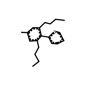 CCCCc1cc(C)cc(CCCC)c1-c1ccccn1